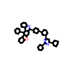 c1ccc(-c2cc(-c3cccc(-c4ccc(-c5nc6ccccc6c6c(-c7ccccc7)c7c(cc56)oc5ccccc57)cc4)c3)nc(-c3ccccc3)n2)cc1